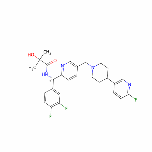 CC(C)(O)C(=O)N[C@@H](c1ccc(F)c(F)c1)c1ccc(CN2CCC(c3ccc(F)nc3)CC2)cn1